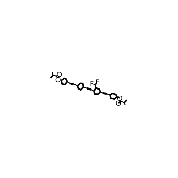 C=C(C)C(=O)Oc1ccc(C#Cc2ccc(C#Cc3ccc(C#Cc4ccc(OC(=O)C(=C)C)cc4)cc3C(F)F)cc2)cc1